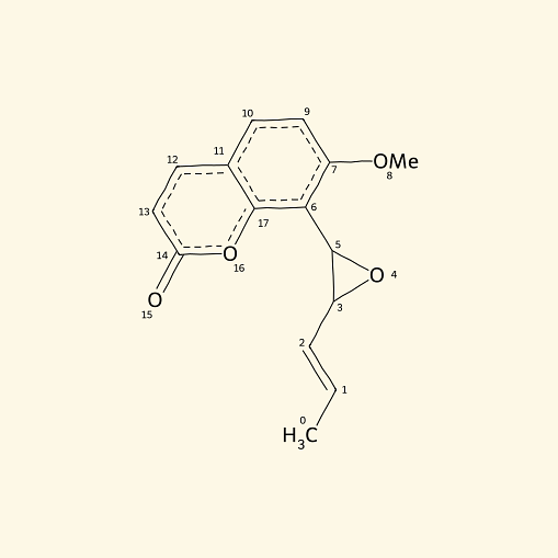 CC=CC1OC1c1c(OC)ccc2ccc(=O)oc12